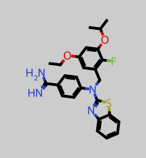 CCOc1cc(CN(c2ccc(C(=N)N)cc2)c2nc3ccccc3s2)c(F)c(OC(C)C)c1